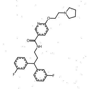 O=C(NCCC(c1cccc(F)c1)c1cccc(F)c1)c1ccc(OCCN2CCCC2)nc1